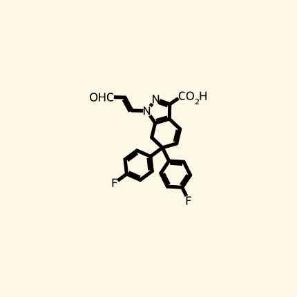 O=CC=Cn1nc(C(=O)O)c2c1CC(c1ccc(F)cc1)(c1ccc(F)cc1)C=C2